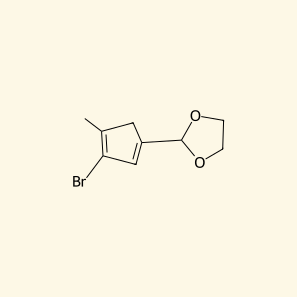 CC1=C(Br)C=C(C2OCCO2)C1